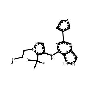 COCCn1ncc(Nc2nc(-c3ccoc3)nc3cn[nH]c23)c1C(F)(F)F